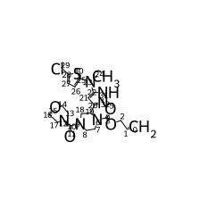 C=CCOC(=O)N1CCN(C(=O)N2CCOCC2)CC1c1cc(N(C)c2ccc(Cl)s2)[nH]n1